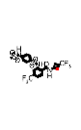 CS(=O)(=O)Nc1ccc(S(=O)(=O)Nc2cc(C(F)(F)F)ccc2C(=O)NC23CC(C(F)(F)F)(C2)C3)cc1